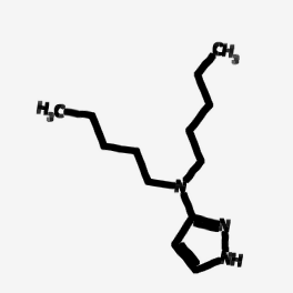 CCCCCN(CCCCC)c1cc[nH]n1